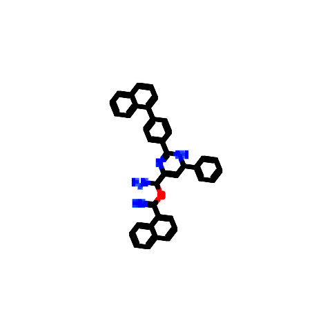 N=C(OC(N)C1=CC(c2ccccc2)NC(c2ccc(-c3cccc4ccccc34)cc2)=N1)c1cccc2ccccc12